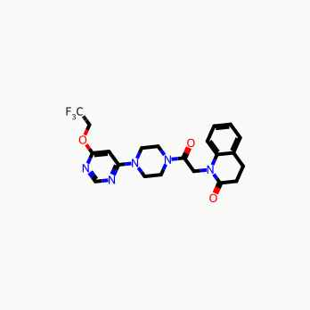 O=C(CN1C(=O)CCc2ccccc21)N1CCN(c2cc(OCC(F)(F)F)ncn2)CC1